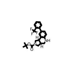 CC(C)(C)OC(=O)N1C[C@@H]2CNc3ccc(-c4ccccc4C(F)(F)F)cc3[C@@H]2C1